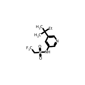 CCC(C)(C)c1cncc(NS(=O)(=O)CC(F)(F)F)c1